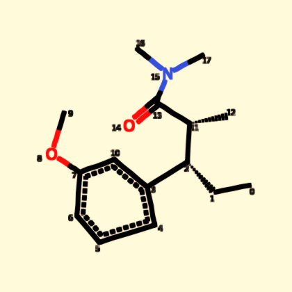 CC[C@H](c1cccc(OC)c1)[C@@H](C)C(=O)N(C)C